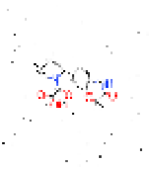 C[C@H]1CCC(c2ccc3c(c2)OC2(CC2)C(=O)N3)N(C(=O)C(=O)O)C1